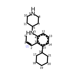 C/C=C\c1c(NC2CCNCC2)cccc1C1CCCCC1